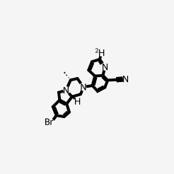 [2H]c1ccc2c(N3C[C@@H](C)N4Cc5cc(Br)ccc5[C@H]4C3)ccc(C#N)c2n1